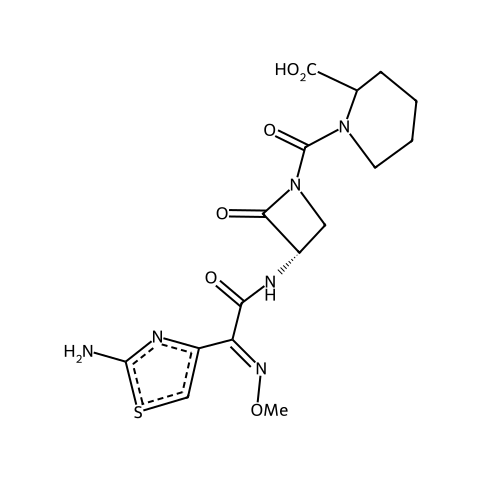 CON=C(C(=O)N[C@H]1CN(C(=O)N2CCCCC2C(=O)O)C1=O)c1csc(N)n1